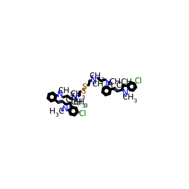 CN(CCC[N+](C)(C)CCSSCC[N+](C)(C)CCCN(C)c1ccccc1/C=C/C1=[N+](C)c2ccc(Cl)cc2C1(C)C)c1ccccc1/C=C/C1=[N+](C)c2ccc(Cl)cc2C1(C)C